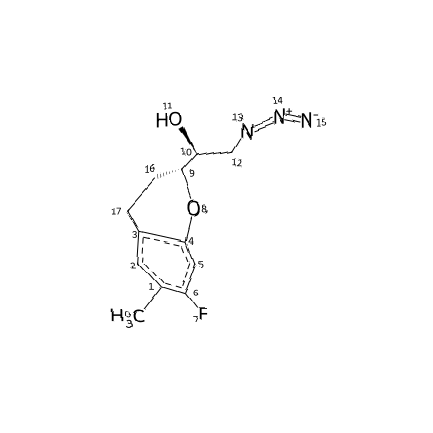 Cc1cc2c(cc1F)O[C@@H]([C@@H](O)CN=[N+]=[N-])CC2